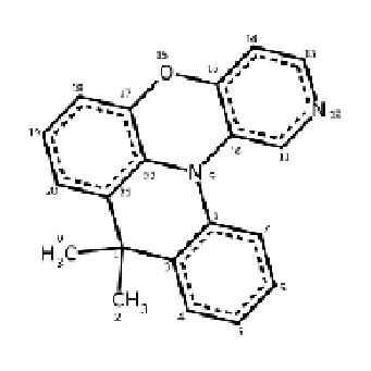 CC1(C)c2ccccc2N2c3cnccc3Oc3cccc1c32